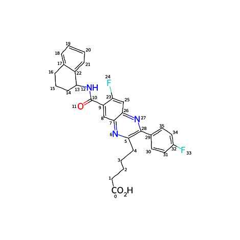 O=C(O)CCCCc1nc2cc(C(=O)NC3CCCc4ccccc43)c(F)cc2nc1-c1ccc(F)cc1